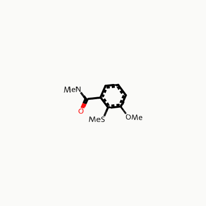 CNC(=O)c1cccc(OC)c1SC